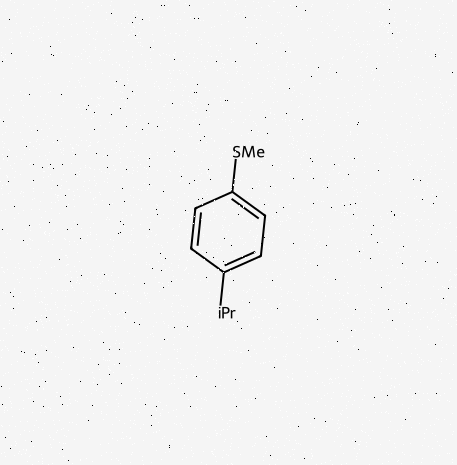 [CH2]C(C)c1ccc(SC)cc1